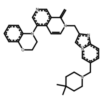 C=C1c2cncc(N3CCOc4ccccc43)c2C=CN1Cc1cn2cc(CN3CCC(C)(C)CC3)ccc2n1